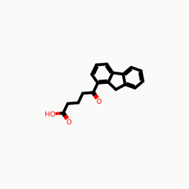 O=C(O)CCCC(=O)c1cccc2c1Cc1ccccc1-2